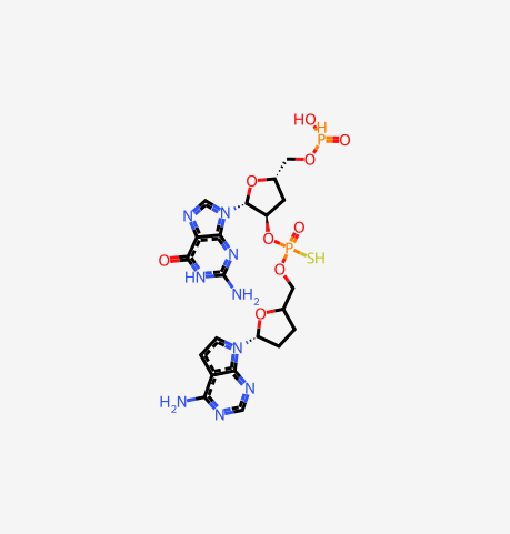 Nc1nc2c(ncn2[C@@H]2O[C@H](CO[PH](=O)O)C[C@H]2OP(=O)(S)OCC2CC[C@H](n3ccc4c(N)ncnc43)O2)c(=O)[nH]1